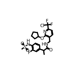 CC(C(=O)NCc1ccc(C(F)(F)Cl)nc1OC1CCCC1)c1ccc(NS(C)(=O)=O)c(F)c1